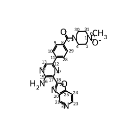 C[N+]1([O-])CCN(C(=O)c2ccc(-c3cnc(N)c(-c4nc5cnccc5o4)n3)cc2)CC1